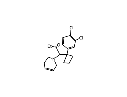 CCC(=O)C(N1CC=CCC1)C1(c2ccc(Cl)c(Cl)c2)CCC1